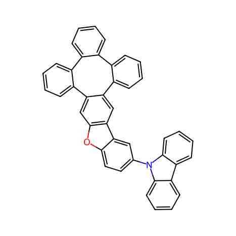 c1ccc2c(c1)-c1ccccc1-c1cc3oc4ccc(-n5c6ccccc6c6ccccc65)cc4c3cc1-c1ccccc1-2